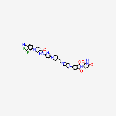 N#Cc1ccc(N2CCC(C(=O)Nc3ccc(N4CCC(CCN5CC6CN(c7ccc8c(c7)C(=O)N(C7CCC(=O)NC7=O)C8=O)CC6C5)CC4)cn3)CC2)cc1C(F)(F)F